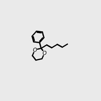 CCCCCC1(c2ccccc2)OCCCO1